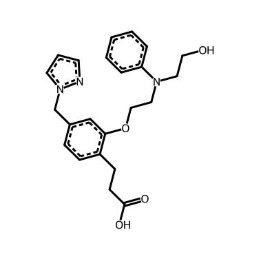 O=C(O)CCc1ccc(Cn2cccn2)cc1OCCN(CCO)c1ccccc1